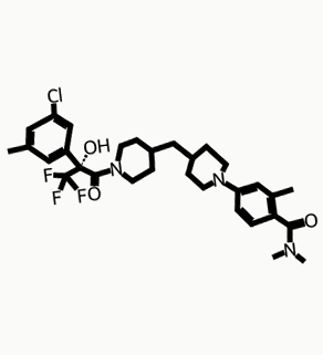 Cc1cc(Cl)cc([C@@](O)(C(=O)N2CCC(CC3CCN(c4ccc(C(=O)N(C)C)c(C)c4)CC3)CC2)C(F)(F)F)c1